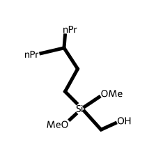 CCCC(CCC)CC[Si](CO)(OC)OC